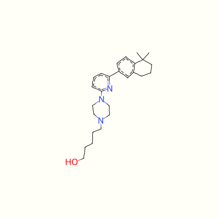 CC1(C)CCCc2cc(-c3cccc(N4CCN(CCCCCO)CC4)n3)ccc21